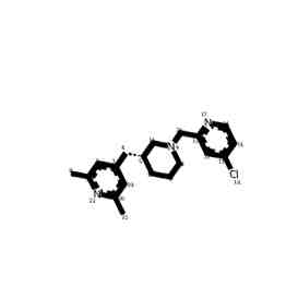 Cc1cc(C[C@H]2CCCN(Cc3cc(Cl)ccn3)C2)cc(C)n1